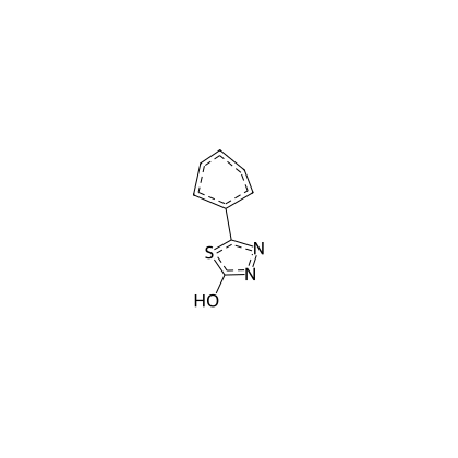 Oc1nnc(-c2ccccc2)s1